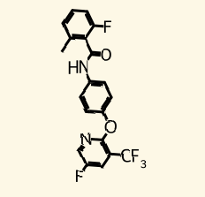 Cc1cccc(F)c1C(=O)Nc1ccc(Oc2ncc(F)cc2C(F)(F)F)cc1